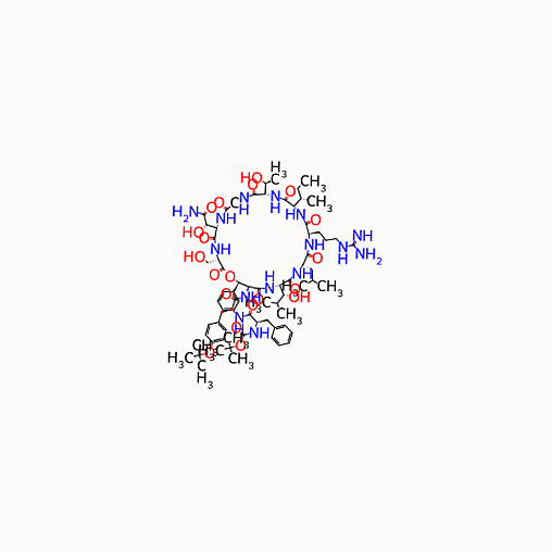 CC[C@H](C)[C@@H]1NC(=O)[C@@H](CCCNC(=N)N)NC(=O)[C@H](CC(C)C)NC(=O)[C@H]([C@H](O)C(C)C)NC(=O)[C@@H](NC(=O)[C@H](Cc2ccc(OC(C)(C)C)cc2)NC(=O)[C@@H](Cc2ccccc2)NC(=O)OC(C)(C)C)[C@@H](c2ccccc2)OC(=O)[C@H](CO)NC(=O)[C@H]([C@H](O)C(N)=O)NC(=O)CNC(=O)[C@H]([C@H](C)O)NC1=O